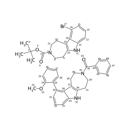 CC(C)(C)OC(=O)N1CCc2[nH]c3cccc(Br)c3c2CC1.COc1ccccc1-c1cccc2[nH]c3c(c12)CCN(C(=O)c1ccccc1)CC3